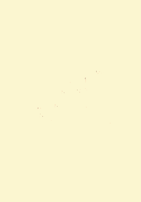 C=CC(=O)N1[C@H](C)CN(c2nc(=O)n3c4c(c(-c5ccc(Cl)c(Cl)c5)c(C(F)(F)F)cc24)SC[C@@H]3COC)C[C@@H]1C